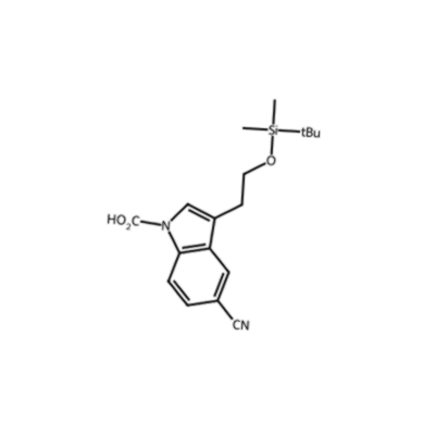 CC(C)(C)[Si](C)(C)OCCc1cn(C(=O)O)c2ccc(C#N)cc12